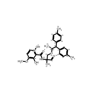 COc1cc[n+](O)c(C(=O)NC(C)(C=O)CO[C@@H](C)C(c2ccc(C)cc2)c2ccc(C)cc2)c1O